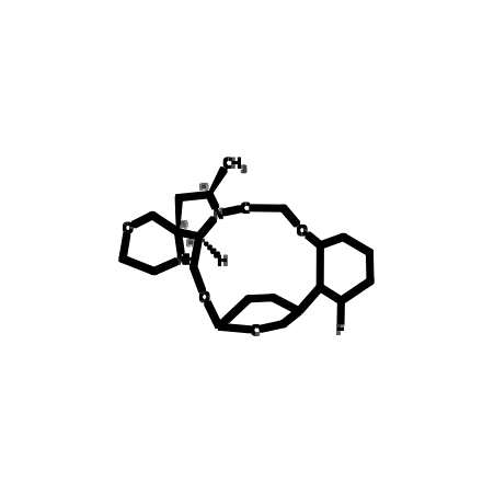 C[C@@H]1C[C@@]2(COCCN2)[C@@H]2COC3CCC(CC3)C3C(F)CCCC3OCCN12